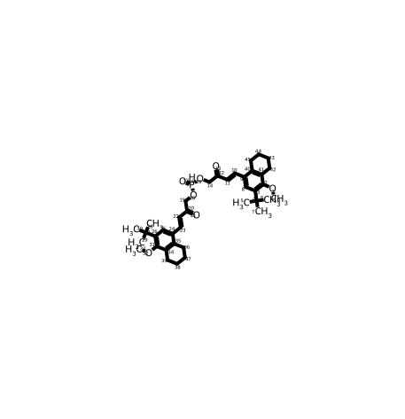 COc1c(C(C)(C)C)cc(C=CC(=O)CO[PH](=O)OCC(=O)C=Cc2cc(C(C)(C)C)c(OC)c3c2CCCC3)c2c1CCCC2